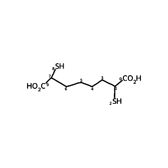 O=C(O)C(S)CCCCC(S)C(=O)O